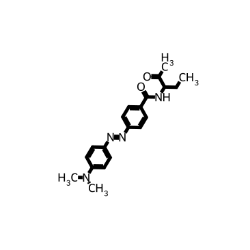 CCC(NC(=O)c1ccc(/N=N/c2ccc(N(C)C)cc2)cc1)C(C)=O